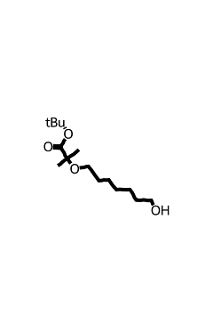 CC(C)(C)OC(=O)C(C)(C)OCCCCCCCO